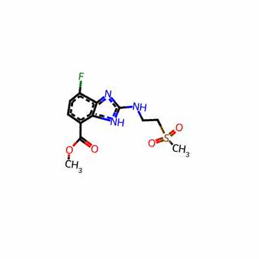 COC(=O)c1ccc(F)c2nc(NCCS(C)(=O)=O)[nH]c12